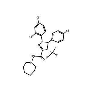 O=C(NN1CCCCCC1)C1=NN(c2ccc(Cl)cc2Cl)[C@@H](c2ccc(Cl)cc2)[C@@H]1C(F)(F)F